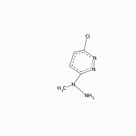 CN(N)c1ccc(Cl)nn1